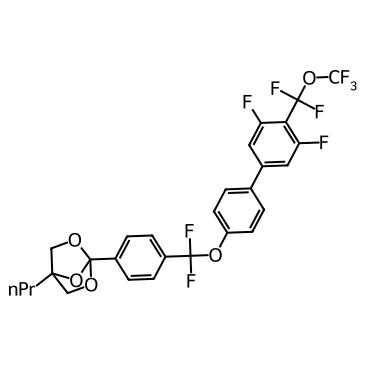 CCCC12COC(c3ccc(C(F)(F)Oc4ccc(-c5cc(F)c(C(F)(F)OC(F)(F)F)c(F)c5)cc4)cc3)(OC1)O2